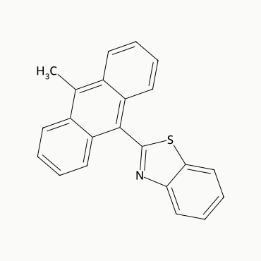 Cc1c2ccccc2c(-c2nc3ccccc3s2)c2ccccc12